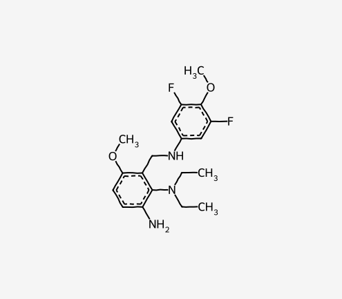 CCN(CC)c1c(N)ccc(OC)c1CNc1cc(F)c(OC)c(F)c1